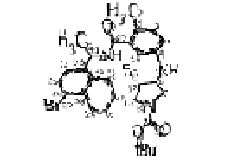 Cc1ccc(N[C@H]2CN(C(=O)OC(C)(C)C)C[C@@H]2F)cc1C(=O)N[C@H](C)c1ccc(Br)c2ccccc12